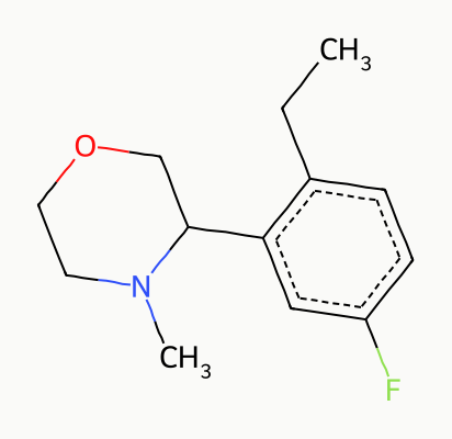 CCc1ccc(F)cc1C1COCCN1C